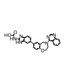 O=C(O)Nc1nc2ccc(-c3ccc4c(c3)CN(c3ncnc5ccccc35)CCO4)cc2[nH]1